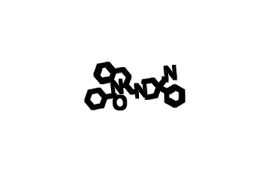 N#CC1(c2ccccc2)CCN(CC2CCc3ccccc3N2C(=O)C2CCCCC2)CC1